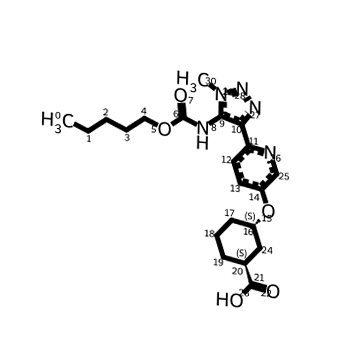 CCCCCOC(=O)Nc1c(-c2ccc(O[C@H]3CCC[C@H](C(=O)O)C3)cn2)nnn1C